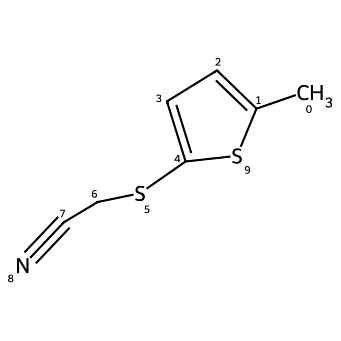 Cc1ccc(SCC#N)s1